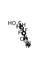 O=C(O)C1[C@H]2CN(c3c(F)cc(N4C[C@H](Cn5ccnn5)OC4=O)cc3F)C[C@@H]12